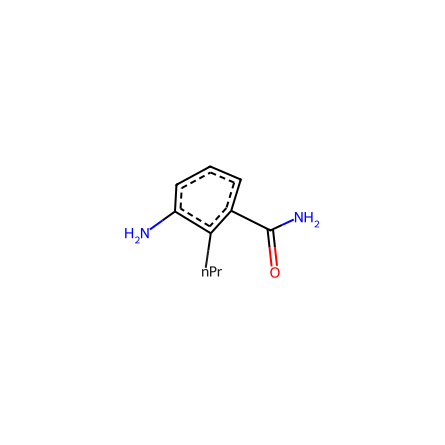 CCCc1c(N)cccc1C(N)=O